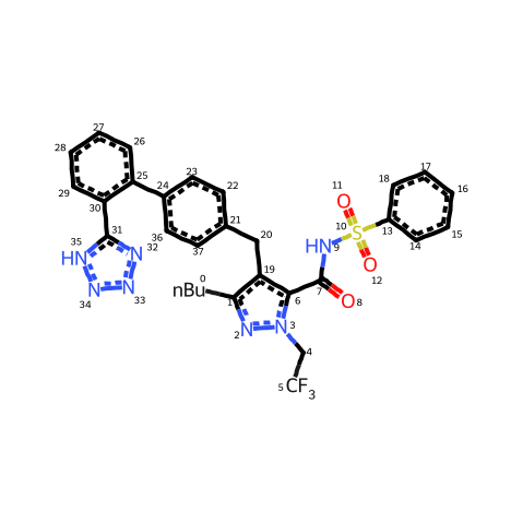 CCCCc1nn(CC(F)(F)F)c(C(=O)NS(=O)(=O)c2ccccc2)c1Cc1ccc(-c2ccccc2-c2nnn[nH]2)cc1